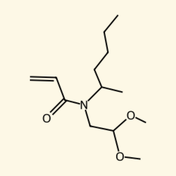 C=CC(=O)N(CC(OC)OC)C(C)CCCC